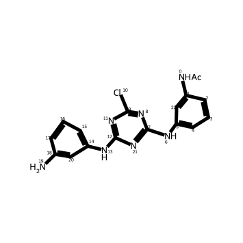 CC(=O)Nc1cccc(Nc2nc(Cl)nc(Nc3cccc(N)c3)n2)c1